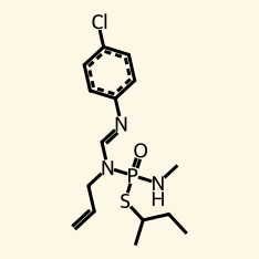 C=CCN(C=Nc1ccc(Cl)cc1)P(=O)(NC)SC(C)CC